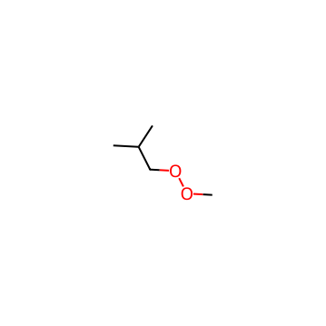 COOCC(C)C